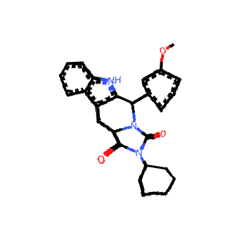 COc1cccc(C2c3[nH]c4ccccc4c3CC3C(=O)N(C4CCCCC4)C(=O)N32)c1